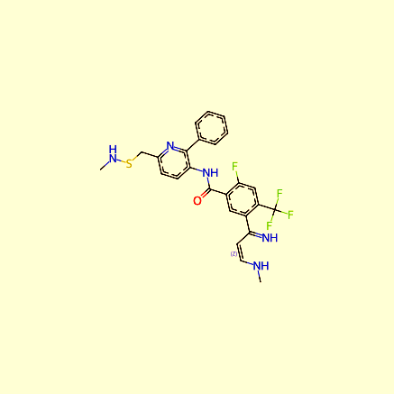 CN/C=C\C(=N)c1cc(C(=O)Nc2ccc(CSNC)nc2-c2ccccc2)c(F)cc1C(F)(F)F